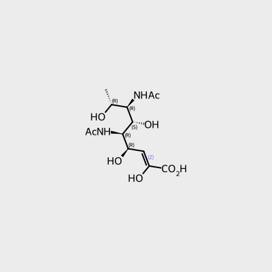 CC(=O)N[C@@H]([C@@H](O)[C@H](NC(C)=O)[C@@H](C)O)[C@H](O)/C=C(\O)C(=O)O